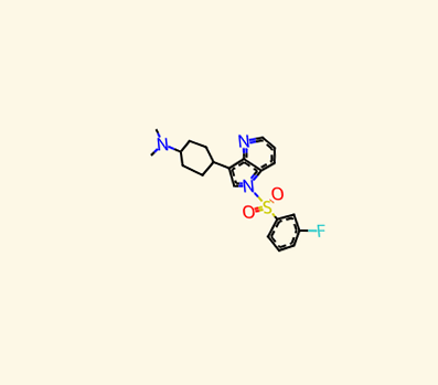 CN(C)C1CCC(c2cn(S(=O)(=O)c3cccc(F)c3)c3cccnc23)CC1